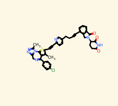 Cc1c(C#Cc2ccc(CCC#Cc3cccc4c3CN(C3CCC(=O)NC3=O)C4=O)cn2)sc2c1C(c1ccc(Cl)cc1)=NCc1nnc(C)n1-2